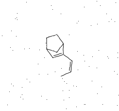 C/C=C\C1=CC2CCC1C2